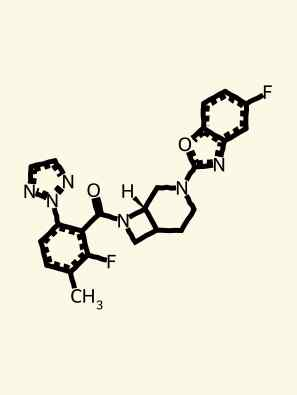 Cc1ccc(-n2nccn2)c(C(=O)N2CC3CCN(c4nc5cc(F)ccc5o4)C[C@H]32)c1F